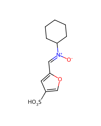 O=S(=O)(O)c1coc(C=[N+]([O-])C2CCCCC2)c1